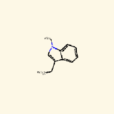 CCCCn1cc(CC(=O)O)c2ccccc21